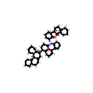 c1ccc(-c2ccccc2N(c2ccc(-c3cc4ccc5ccccc5c4c4ccccc34)cc2)c2cccc3c2oc2c4ccccc4ccc32)cc1